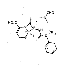 CC1=C(C(=O)O)N2C(=O)[C@@H](NC(=O)[C@H](N)C3=CCC=CC3)[C@H]2SC1.CN(C)C=O